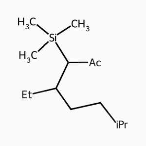 CCC(CCC(C)C)C(C(C)=O)[Si](C)(C)C